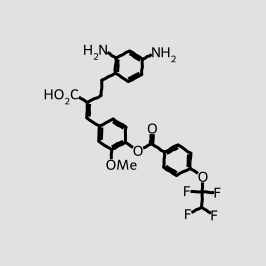 COc1cc(C=C(CCc2ccc(N)cc2N)C(=O)O)ccc1OC(=O)c1ccc(OC(F)(F)C(F)F)cc1